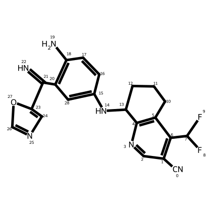 N#Cc1cnc2c(c1C(F)F)CCCC2Nc1ccc(N)c(C(=N)c2cnco2)c1